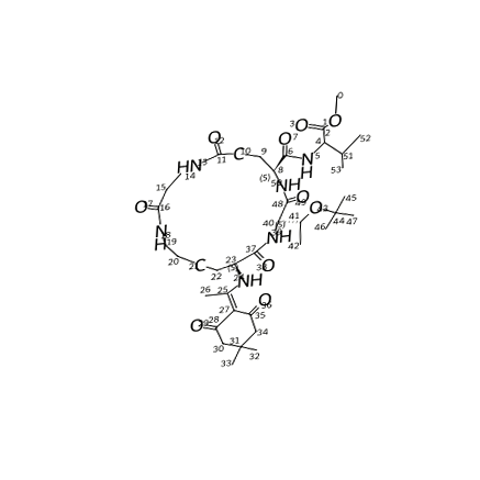 COC(=O)C(NC(=O)[C@@H]1CCC(=O)NCCC(=O)NCCCC[C@H](NC(C)=C2C(=O)CC(C)(C)CC2=O)C(=O)N[C@@H](C(C)OC(C)(C)C)C(=O)N1)C(C)C